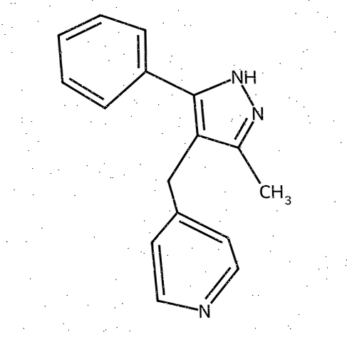 Cc1n[nH]c(-c2ccccc2)c1Cc1ccncc1